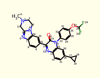 CN1CCn2c(nc3ccc(-c4nc5ccc(C6CC6)cc5n(-c5ccc(OC(F)F)cc5)c4=O)cc32)C1